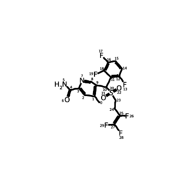 Cc1cc(C(N)=O)ncc1C(c1c(F)ccc(F)c1F)S(=O)(=O)CCC(F)=C(F)F